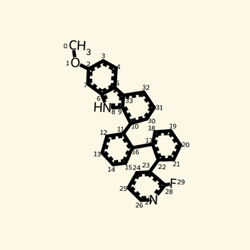 COc1ccc2c(c1)[nH]c1c(-c3ccccc3-c3ccccc3-c3cccnc3F)cccc12